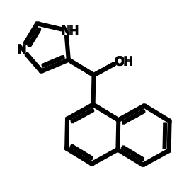 OC(c1cnc[nH]1)c1cccc2ccccc12